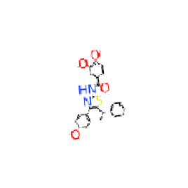 COc1ccc(-c2nc(NC(=O)c3ccc(OC)c(OC)c3)sc2C(C)c2ccccc2)cc1